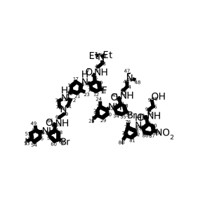 CCN(CC)CCNC(=O)c1cc(F)ccc1Nc1ccc(I)cc1C.Cc1cc(I)ccc1Nc1ccc(Br)cc1C(=O)NCCCN(C)C.Cc1cc(I)ccc1Nc1ccc(Br)cc1C(=O)NCCN1CCNCC1.Cc1cc(I)ccc1Nc1ccc([N+](=O)[O-])cc1C(=O)NCCCO